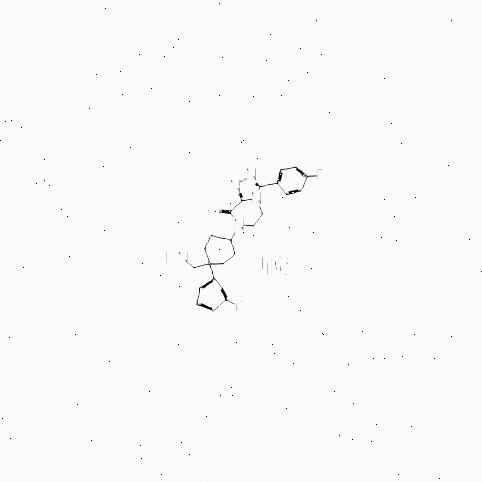 Cl.Cl.NCC1(c2cccc(Cl)c2)CCC(N2CCn3c(nnc3-c3ccc(F)cc3)C2=O)CC1